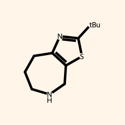 CC(C)(C)c1nc2c(s1)CNCCC2